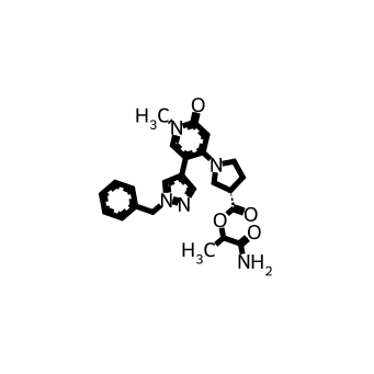 CC(OC(=O)[C@H]1CCN(c2cc(=O)n(C)cc2-c2cnn(Cc3ccccc3)c2)C1)C(N)=O